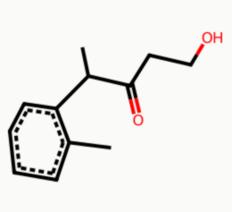 Cc1ccccc1C(C)C(=O)CCO